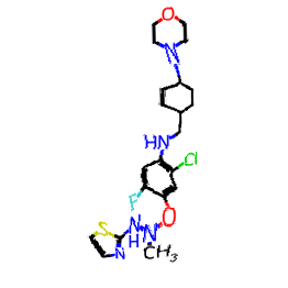 CN(Nc1nccs1)Oc1cc(Cl)c(NCC2CCC(N3CCOCC3)CC2)cc1F